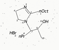 Br.CCCCCCCCC1=NCCN1C(CCC)C(C)O